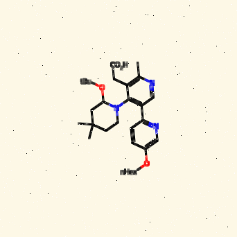 CCCCCCOc1ccc(-c2cnc(C)c(CC(=O)O)c2N2CCC(C)(C)CC2OC(C)(C)C)nc1